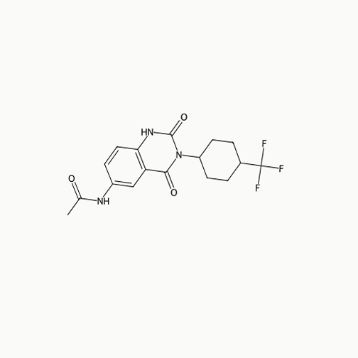 CC(=O)Nc1ccc2[nH]c(=O)n(C3CCC(C(F)(F)F)CC3)c(=O)c2c1